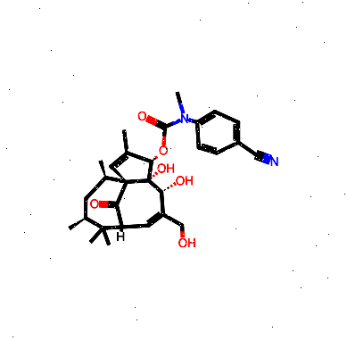 CC1=C[C@]23C(=O)[C@@H](C=C(CO)[C@@H](O)[C@]2(O)[C@H]1OC(=O)N(C)c1ccc(C#N)cc1)C(C)(C)[C@@H](C)C[C@H]3C